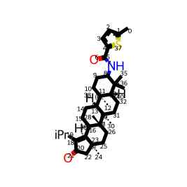 Cc1ccc(C(=O)NC2CC[C@]3(C)[C@H]4CC[C@@H]5C6=C(C(C)C)C(=O)C[C@]6(C)CC[C@@]5(C)[C@]4(C)CC[C@H]3C2(C)C)s1